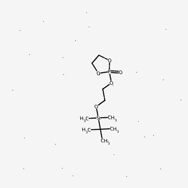 CC(C)(C)[Si](C)(C)OCCOP1(=O)OCCO1